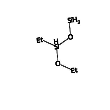 CCO[SiH](CC)O[SiH3]